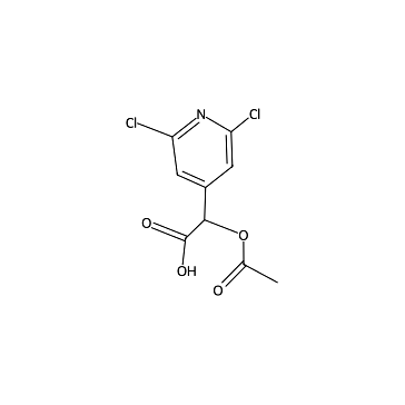 CC(=O)OC(C(=O)O)c1cc(Cl)nc(Cl)c1